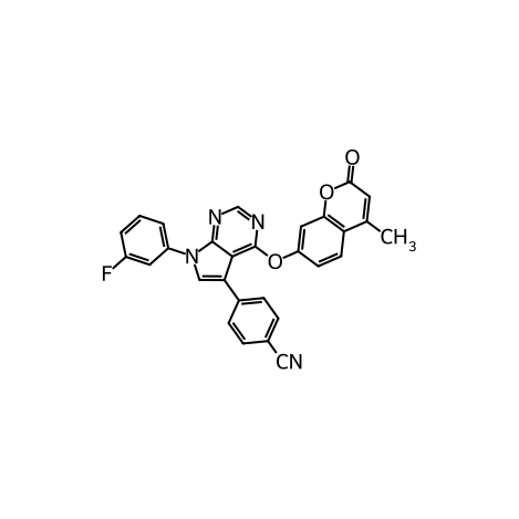 Cc1cc(=O)oc2cc(Oc3ncnc4c3c(-c3ccc(C#N)cc3)cn4-c3cccc(F)c3)ccc12